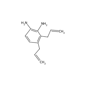 C=CCc1ccc(N)c(N)c1CC=C